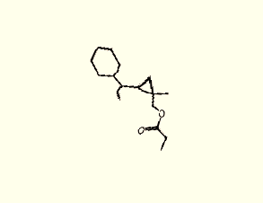 CCC(=O)OCC1(C)CC1C(C)C1CCCCC1